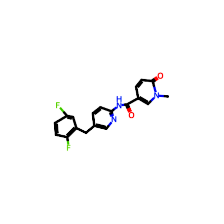 Cn1cc(C(=O)Nc2ccc(Cc3cc(F)ccc3F)cn2)ccc1=O